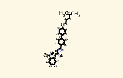 CC(C)CCCOc1ccc(-c2ccc(/C=C/C(=O)n3n[n+]([O-])c4ccccc43)cc2)cc1